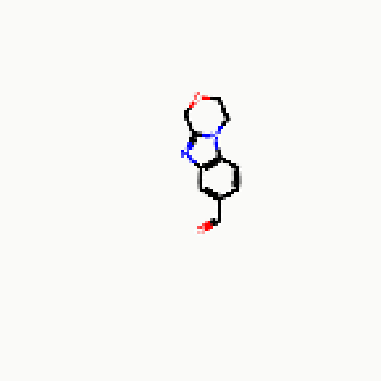 O=Cc1ccc2c(c1)nc1n2CCOC1